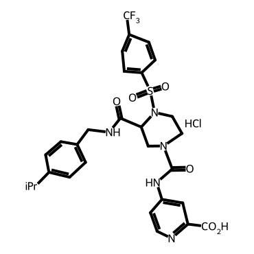 CC(C)c1ccc(CNC(=O)C2CN(C(=O)Nc3ccnc(C(=O)O)c3)CCN2S(=O)(=O)c2ccc(C(F)(F)F)cc2)cc1.Cl